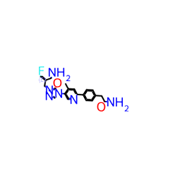 Cc1cc(-c2ccc(CC(N)=O)cc2)ncc1-n1cnn(C/C(=C/F)CN)c1=O